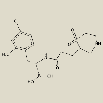 Cc1ccc(C[C@H](NC(=O)CCC2CNCCS2(=O)=O)B(O)O)c(C)c1